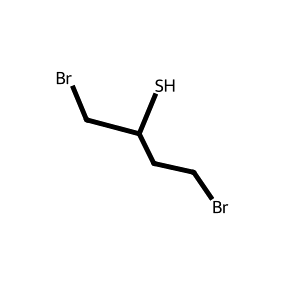 SC(CBr)CCBr